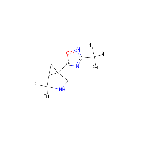 [2H]C([2H])([2H])c1noc(C23CNC([2H])([2H])C2C3)n1